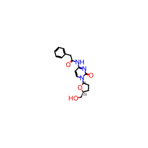 O=C(Cc1ccccc1)Nc1ccn([C@H]2CC[C@@H](CO)O2)c(=O)n1